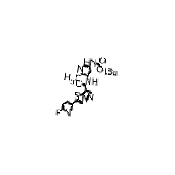 Cc1ncc(NC(=O)OC(C)(C)C)cc1NC(=O)c1cnn2cc(-c3ccc(F)nc3)sc12